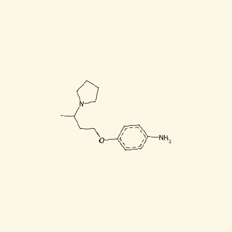 CC(CCOc1ccc(N)cc1)N1CCCC1